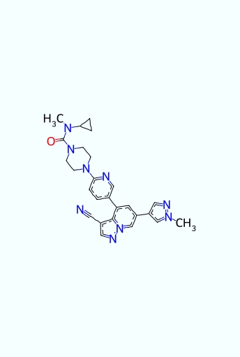 CN(C(=O)N1CCN(c2ccc(-c3cc(-c4cnn(C)c4)cn4ncc(C#N)c34)cn2)CC1)C1CC1